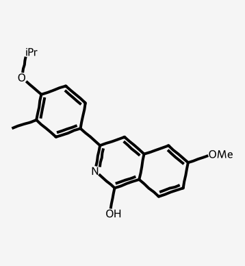 COc1ccc2c(O)nc(-c3ccc(OC(C)C)c(C)c3)cc2c1